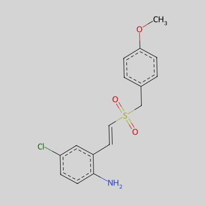 COc1ccc(CS(=O)(=O)/C=C/c2cc(Cl)ccc2N)cc1